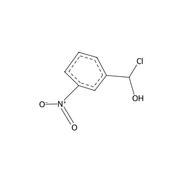 O=[N+]([O-])c1cccc(C(O)Cl)c1